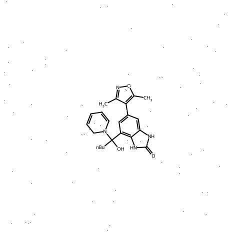 CCCCC(O)(c1cc(-c2c(C)noc2C)cc2[nH]c(=O)[nH]c12)N1C=CC=CC1